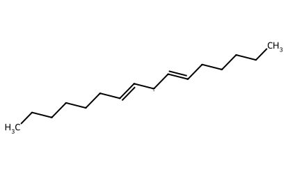 CCCCCC=C[CH]C=CCCCCCC